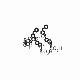 O=C(O)CC[N+]1=Cc2ccc(-c3cc4cc(Cc5ccccc5)ccc4o3)cc2CC1.O=C(O)CC[N+]1=Cc2ccc(-c3cc4cc(Cc5ccccc5)ccc4o3)cc2CC1.O=C([O-])C(F)(F)F.O=C([O-])C1CNC1